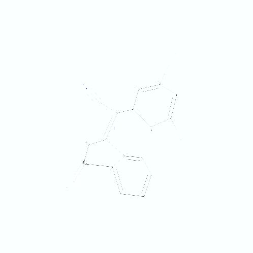 N#C/C(=C1\CC(=O)c2ccccc21)c1cc(F)cc(F)c1